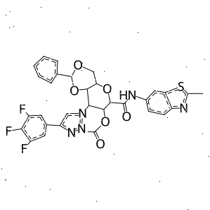 CC(=O)OC1C(C(=O)Nc2ccc3nc(C)sc3c2)OC2COC(c3ccccc3)OC2C1n1cc(-c2cc(F)c(F)c(F)c2)nn1